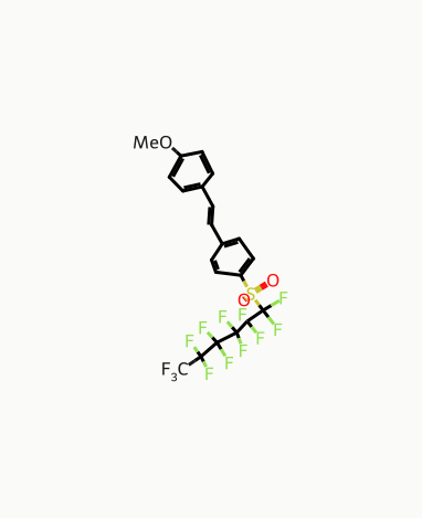 COc1ccc(C=Cc2ccc(S(=O)(=O)C(F)(F)C(F)(F)C(F)(F)C(F)(F)C(F)(F)C(F)(F)F)cc2)cc1